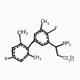 CCOC(=O)CC(N)c1cc(-c2c(C)cc(F)cc2C)cc(C)c1F